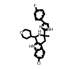 CC1(c2nc(-c3ccc(F)cc3)c[nH]2)Cc2c([nH]c3cc(Cl)ccc23)C(C2CCOCC2)N1